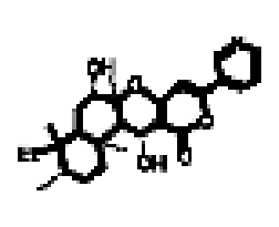 CCC1(C)C2C[C@H](O)[C@@]3(C)Oc4cc(-c5cccnc5)oc(=O)c4[C@H](O)C3[C@@]2(C)CC[C@@H]1C